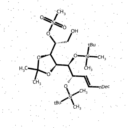 CCCCCCCCCCC=C[C@H](O[Si](C)(C)C(C)(C)C)[C@H](O[Si](C)(C)C(C)(C)C)[C@H]1OC(C)(C)O[C@H]1[C@@H](CO)OS(C)(=O)=O